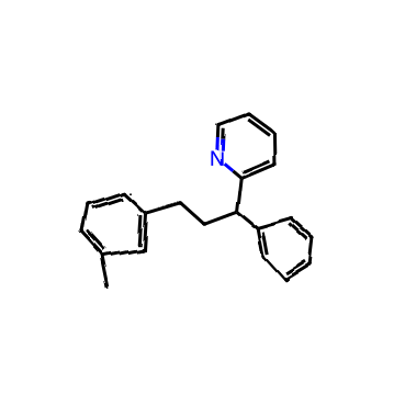 Cc1cc[c]c(CCC(c2ccccc2)c2ccccn2)c1